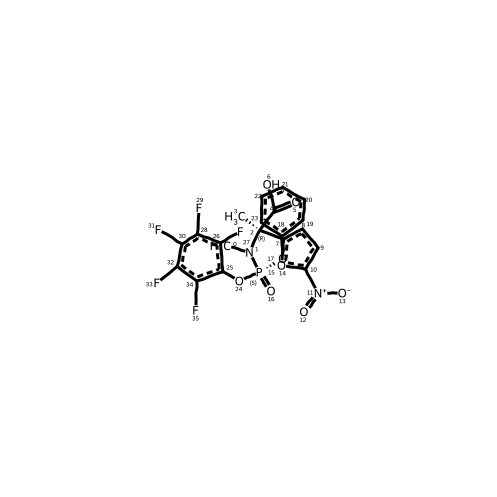 CN([C@@](C)(C(=O)O)c1ccc([N+](=O)[O-])o1)[P@](=O)(Oc1ccccc1)Oc1c(F)c(F)c(F)c(F)c1F